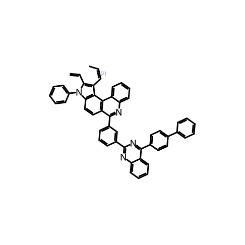 C=Cc1c(/C=C\C)c2c3c(ccc2n1-c1ccccc1)c(-c1cccc(-c2nc(-c4ccc(-c5ccccc5)cc4)c4ccccc4n2)c1)nc1ccccc13